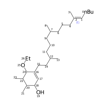 CCCC/C=C(\C)CCCC(C)CCCC(C)CCC1=CC(O)C(C)C(C)C1OCC